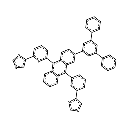 c1ccc(-c2cc(-c3ccccc3)cc(-c3ccc4c(-c5cccc(-c6cncs6)n5)c5ccccc5c(-c5cccc(-c6cncs6)n5)c4c3)c2)cc1